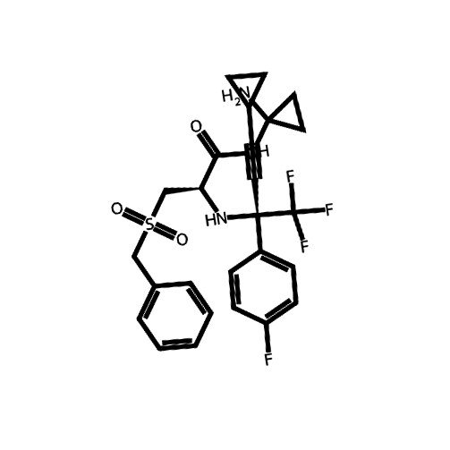 NC1(NC(=O)[C@H](CS(=O)(=O)Cc2ccccc2)N[C@@](C#CC2CC2)(c2ccc(F)cc2)C(F)(F)F)CC1